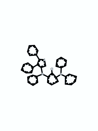 Clc1c(N(c2ccccc2)c2ccccc2)cccc1N(c1ccccc1)c1csc(-c2ccccc2)c1-c1ccccc1